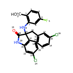 O=C(O)c1ccc(F)cc1NC1(Cc2cccc(Cl)c2)C(=O)Nc2cc(Cl)ccc21